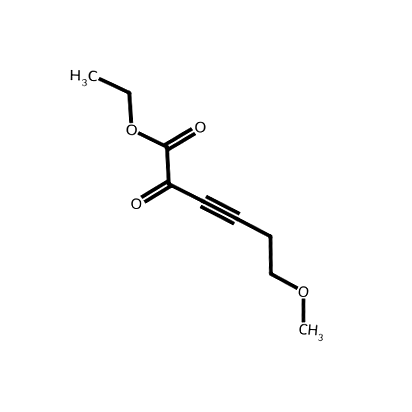 CCOC(=O)C(=O)C#CCCOC